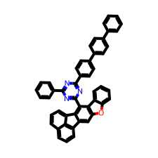 c1ccc(-c2ccc(-c3ccc(-c4nc(-c5ccccc5)nc(-c5c6c(cc7oc8ccccc8c57)-c5cccc7cccc-6c57)n4)cc3)cc2)cc1